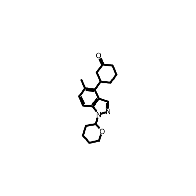 Cc1ccc2c(cnn2C2CCCCO2)c1C1CCCC(=O)C1